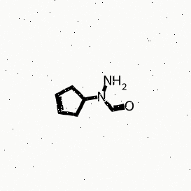 NN(C=O)C1CC=CC1